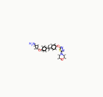 CC(C)(c1ccc(Oc2nnc(N3CCOCC3)s2)cc1)c1ccc(O[C@H]2C[C@H](N)C2)cc1